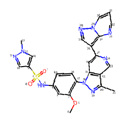 COc1cc(NS(=O)(=O)c2cnn(C)c2)ccc1-n1nc(C)c2cnc(-c3cnn4cccnc34)cc21